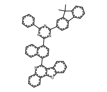 CC1(C)c2ccccc2-c2ccc(-c3nc(-c4ccccc4)nc(-c4ccc(-c5nc6ccccc6c6oc7ccccc7c56)c5ccccc45)n3)cc21